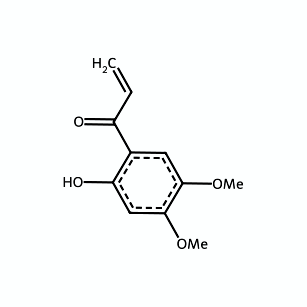 C=CC(=O)c1cc(OC)c(OC)cc1O